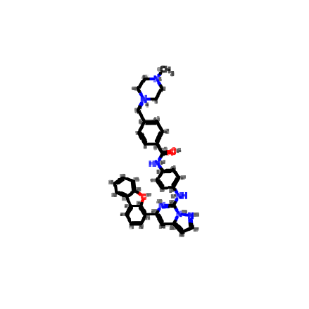 CN1CCN(Cc2ccc(C(=O)Nc3ccc(Nc4nc(-c5cccc6c5oc5ccccc56)cc5ccnn45)cc3)cc2)CC1